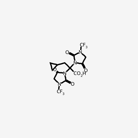 O=C1CN(C(F)(F)F)C(=O)N1C(CC1CC1)(C(=O)O)N1C(=O)CN(C(F)(F)F)C1=O